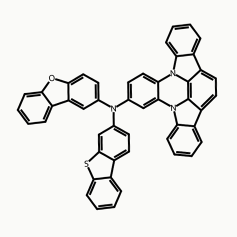 c1ccc2c(c1)oc1ccc(N(c3ccc4c(c3)sc3ccccc34)c3ccc4c(c3)n3c5ccccc5c5ccc6c7ccccc7n4c6c53)cc12